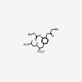 CCC(C)OC(=O)Oc1ccc(C[C@H](NCC(C)OC(C)=O)C(=O)O)cc1OC(=O)OC(C)CC